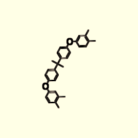 Cc1ccc(Oc2ccc(C(C)(C)c3ccc(Oc4ccc(C)c(C)c4)cc3)cc2)cc1C